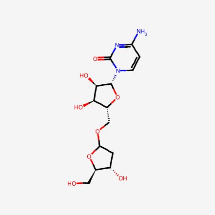 Nc1ccn([C@@H]2O[C@H](COC3C[C@H](O)[C@@H](CO)O3)[C@@H](O)[C@H]2O)c(=O)n1